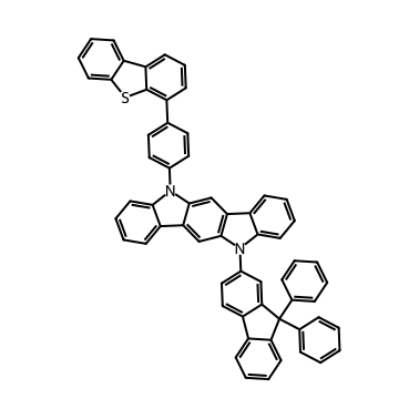 c1ccc(C2(c3ccccc3)c3ccccc3-c3ccc(-n4c5ccccc5c5cc6c(cc54)c4ccccc4n6-c4ccc(-c5cccc6c5sc5ccccc56)cc4)cc32)cc1